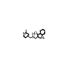 Cc1cc(CNCc2cn(C)c3ccccc3c2=O)ccn1